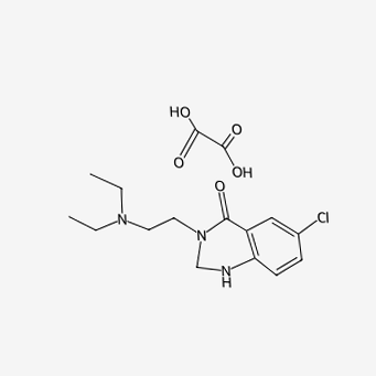 CCN(CC)CCN1CNc2ccc(Cl)cc2C1=O.O=C(O)C(=O)O